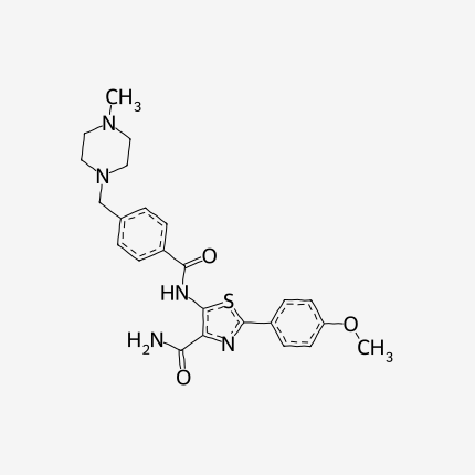 COc1ccc(-c2nc(C(N)=O)c(NC(=O)c3ccc(CN4CCN(C)CC4)cc3)s2)cc1